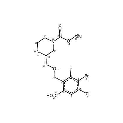 Cc1c(Br)c(Cl)cc(C(=O)O)c1COC[C@H]1CN(C(=O)OC(C)(C)C)CCN1